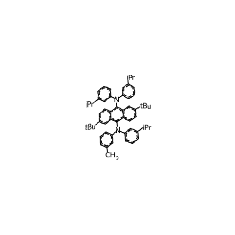 Cc1cccc(N(c2cccc(C(C)C)c2)c2c3ccc(C(C)(C)C)cc3c(N(c3cccc(C(C)C)c3)c3cccc(C(C)C)c3)c3ccc(C(C)(C)C)cc23)c1